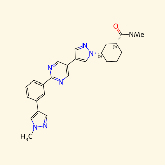 CNC(=O)[C@@H]1CCC[C@H](n2cc(-c3cnc(-c4cccc(-c5cnn(C)c5)c4)nc3)cn2)C1